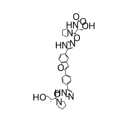 COC(=O)N[C@@H](CO)C(=O)N1CCC[C@H]1c1ncc(-c2ccc3oc(-c4ccc(-c5cnc([C@@H]6CCCN6C(=O)[CH]CO)[nH]5)cc4)cc3c2)[nH]1